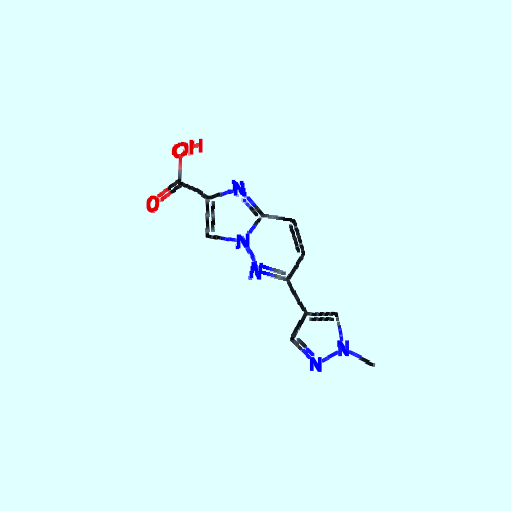 Cn1cc(-c2ccc3nc(C(=O)O)cn3n2)cn1